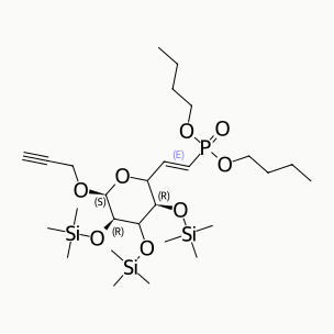 C#CCO[C@H]1OC(/C=C/P(=O)(OCCCC)OCCCC)[C@@H](O[Si](C)(C)C)C(O[Si](C)(C)C)[C@H]1O[Si](C)(C)C